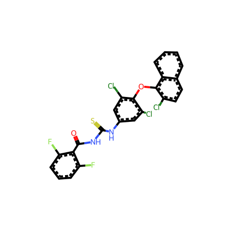 O=C(NC(=S)Nc1cc(Cl)c(Oc2c(Cl)ccc3ccccc23)c(Cl)c1)c1c(F)cccc1F